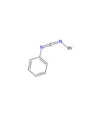 CC(C)N=C=Nc1ccccc1